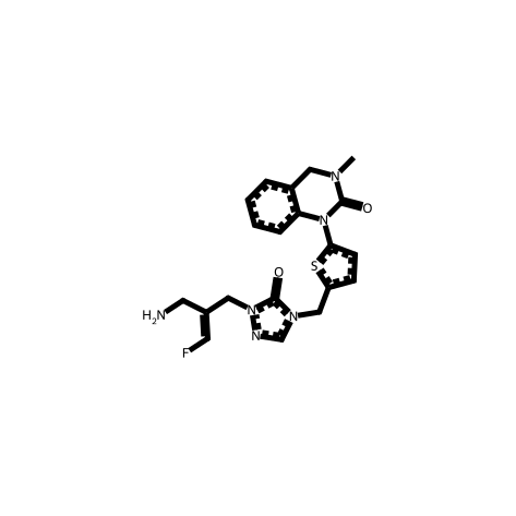 CN1Cc2ccccc2N(c2ccc(Cn3cnn(C/C(=C/F)CN)c3=O)s2)C1=O